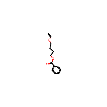 C=COCCCCOC(=O)c1ccccc1